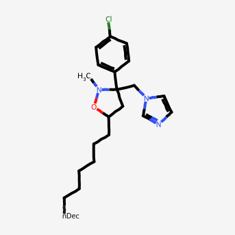 CCCCCCCCCCCCCCCCC1CC(Cn2ccnc2)(c2ccc(Cl)cc2)N(C)O1